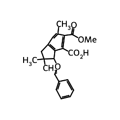 COC(=O)c1c(C)cc2c(c1C(=O)O)C(OCc1ccccc1)C(C)(C)C2